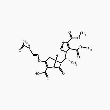 COC(=O)c1nnn([C@H](C)[C@H]2C(=O)N3C(C(=O)O)=C(SC=CNC(C)=O)C[C@H]23)c1C(=O)OC